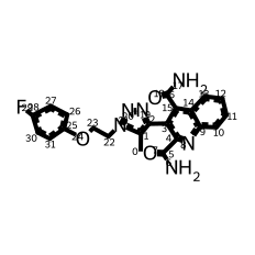 Cc1c(-c2c(C(N)=O)nc3ccccc3c2C(N)=O)nnn1CCOc1ccc(F)cc1